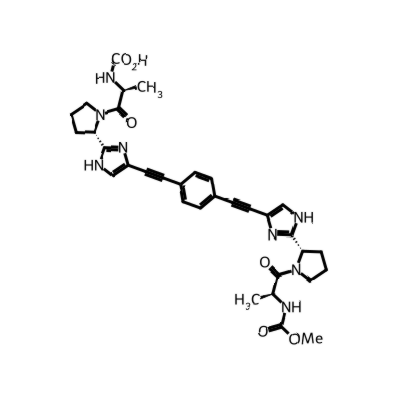 COC(=O)N[C@@H](C)C(=O)N1CCC[C@H]1c1nc(C#Cc2ccc(C#Cc3c[nH]c([C@@H]4CCCN4C(=O)[C@H](C)NC(=O)O)n3)cc2)c[nH]1